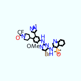 COc1cc(C2CCN(C(=O)C(F)(F)F)CC2)c(-c2cnn(C)c2)cc1Nc1ncc(Br)c(Nc2cnc3ccccc3c2P(C)(C)=O)n1